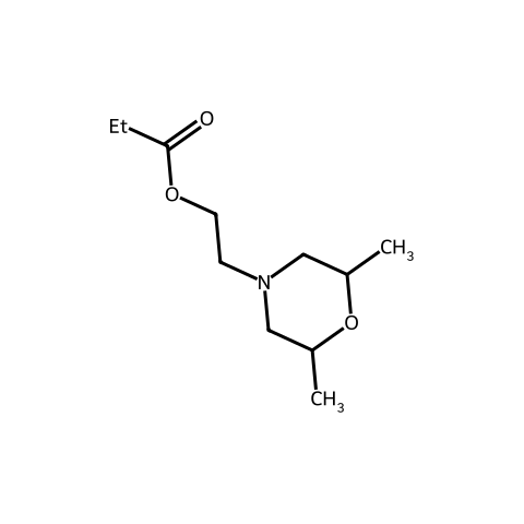 CCC(=O)OCCN1CC(C)OC(C)C1